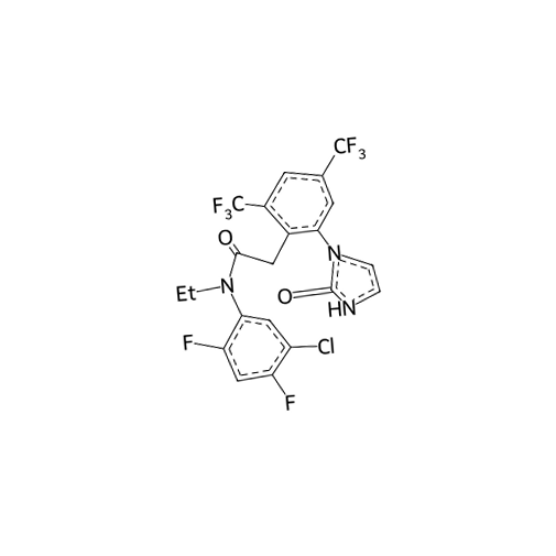 CCN(C(=O)Cc1c(-n2cc[nH]c2=O)cc(C(F)(F)F)cc1C(F)(F)F)c1cc(Cl)c(F)cc1F